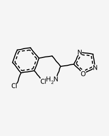 NC(Cc1cccc(Cl)c1Cl)c1ncno1